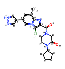 O=C(c1nc2c(C(F)(F)F)cc(-c3cn[nH]c3)cn2c1Cl)N1CCN(C2CCCC2)C(=O)C1